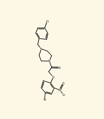 O=C(COc1ccc(Br)cc1[N+](=O)[O-])N1CCN(Cc2ccc(Cl)cc2)CC1